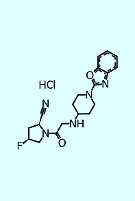 Cl.N#C[C@@H]1C[C@H](F)CN1C(=O)CNC1CCN(c2nc3ccccc3o2)CC1